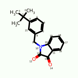 CC(C)(C)c1cccc(CN2C(=O)C(=O)c3ccccc32)c1